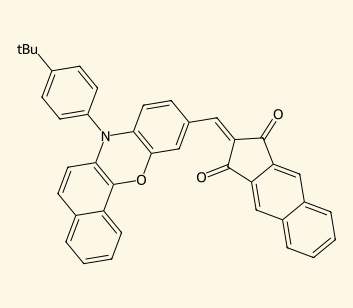 CC(C)(C)c1ccc(N2c3ccc(C=C4C(=O)c5cc6ccccc6cc5C4=O)cc3Oc3c2ccc2ccccc32)cc1